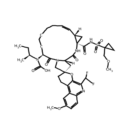 CC[C@H](C)N(C(=O)O)[C@H]1CCCCC/C=C\[C@@H]2C[C@@]2(C(=O)NS(=O)(=O)C2(COC)CC2)NC(=O)[C@@H]2C[C@]3(CCc4c(c(C(F)F)nc5ccc(OC)cc45)O3)CN2C1=O